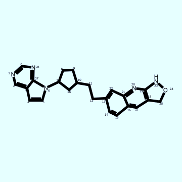 c1ncc2ccn(C3CCC(CCc4ccc5cc6c(nc5c4)NOC6)C3)c2n1